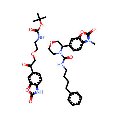 CC(C)(C)OC(=O)NCCOCC(=O)c1ccc2[nH]c(=O)oc2c1.Cn1c(=O)oc2cc(C3COCCN3C(=O)NCCCCc3ccccc3)ccc21